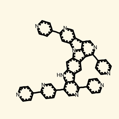 c1cc(-c2ccc(-c3cnc(-c4ccncc4)c4c3[nH]c3cc5c(cc34)c3c(-c4ccncc4)ncc4c6cnc(-c7ccncc7)cc6n5c43)cn2)ccn1